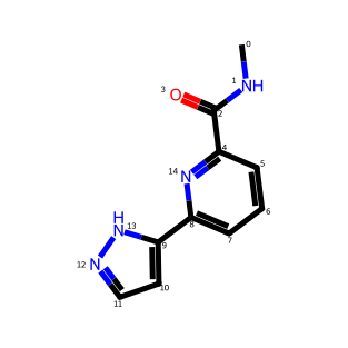 CNC(=O)c1cccc(-c2ccn[nH]2)n1